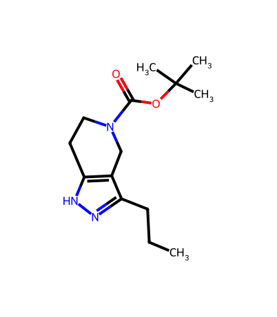 CCCc1n[nH]c2c1CN(C(=O)OC(C)(C)C)CC2